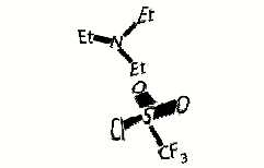 CCN(CC)CC.O=S(=O)(Cl)C(F)(F)F